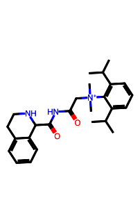 CC(C)c1cccc(C(C)C)c1[N+](C)(C)CC(=O)NC(=O)C1NCCc2ccccc21